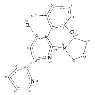 Fc1cccc(Cl)c1-c1c(Cl)cc(-c2ccccn2)nc1N1CCCC1